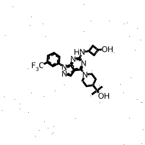 CC(C)(O)C1CCN(c2nc(NC3CC(O)C3)nc3c2cnn3-c2cccc(C(F)(F)F)c2)CC1